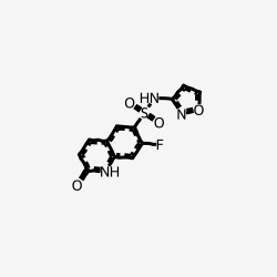 O=c1ccc2cc(S(=O)(=O)Nc3ccon3)c(F)cc2[nH]1